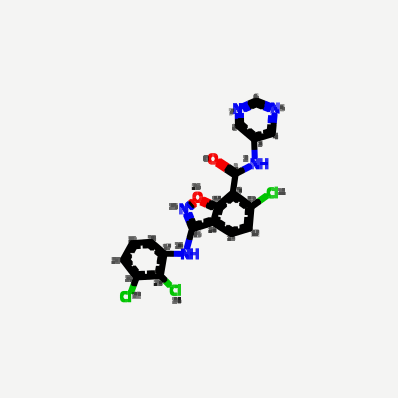 O=C(Nc1cncnc1)c1c(Cl)ccc2c(Nc3cccc(Cl)c3Cl)noc12